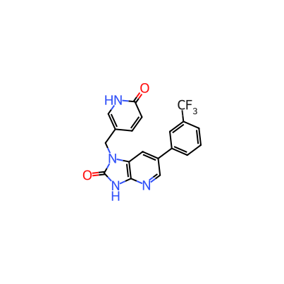 O=c1ccc(Cn2c(=O)[nH]c3ncc(-c4cccc(C(F)(F)F)c4)cc32)c[nH]1